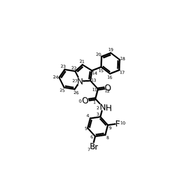 O=C(Nc1ccc(Br)cc1F)C(=O)c1c(-c2ccccc2)cc2ccccn12